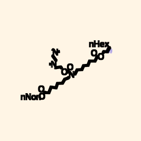 CCCCCC/C=C\COC(=O)CCCCCCCN(CCCCCCCC(=O)OCCCCCCCCC)C(=O)OCCN(C)CCN(C)C